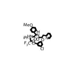 COc1ccc(C(NC(=O)C(Cc2ccccn2)Oc2cc(Cl)cc(Cl)c2)C(=O)N[C@H](C(=O)C(F)(F)F)C(C)C)cc1